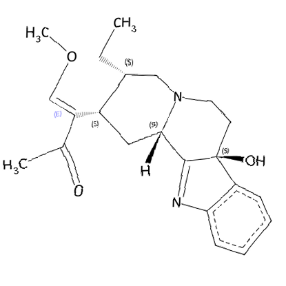 CC[C@@H]1CN2CC[C@@]3(O)C(=Nc4ccccc43)[C@@H]2C[C@@H]1/C(=C\OC)C(C)=O